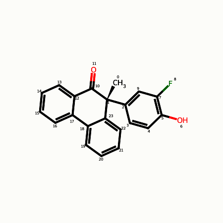 C[C@]1(c2ccc(O)c(F)c2)C(=O)c2ccccc2-c2ccccc21